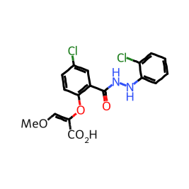 COC=C(Oc1ccc(Cl)cc1C(=O)NNc1ccccc1Cl)C(=O)O